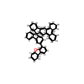 c1ccc2c(c1)-c1cc(-c3cccc4c3oc3ccccc34)ccc1C21c2ccccc2-c2cc3c4ccccc4c4ccccc4c3cc21